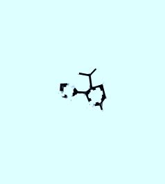 CC(C)c1ccc(Cl)nc1-c1nnco1